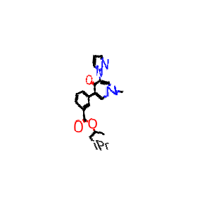 CC(C)CC(C)OC(=O)c1cccc(-c2cn(C)cc(-n3cccn3)c2=O)c1